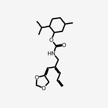 C=C/C=C(\C=C1/COCO1)CNC(=O)OC1CC(C)CCC1C(C)C